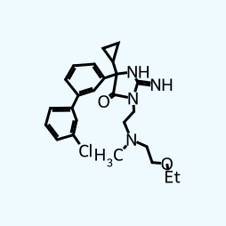 CCOCCN(C)CCN1C(=N)NC(c2cccc(-c3cccc(Cl)c3)c2)(C2CC2)C1=O